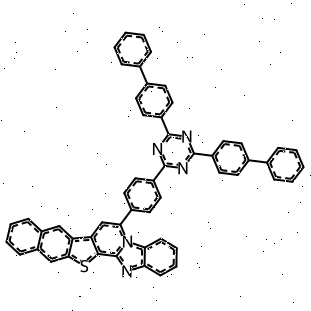 c1ccc(-c2ccc(-c3nc(-c4ccc(-c5ccccc5)cc4)nc(-c4ccc(-c5cc6c7cc8ccccc8cc7sc6c6nc7ccccc7n56)cc4)n3)cc2)cc1